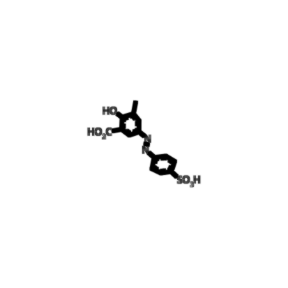 Cc1cc(N=Nc2ccc(S(=O)(=O)O)cc2)cc(C(=O)O)c1O